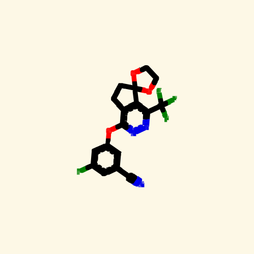 N#Cc1cc(F)cc(Oc2nnc(C(F)(F)F)c3c2CCC32OCCO2)c1